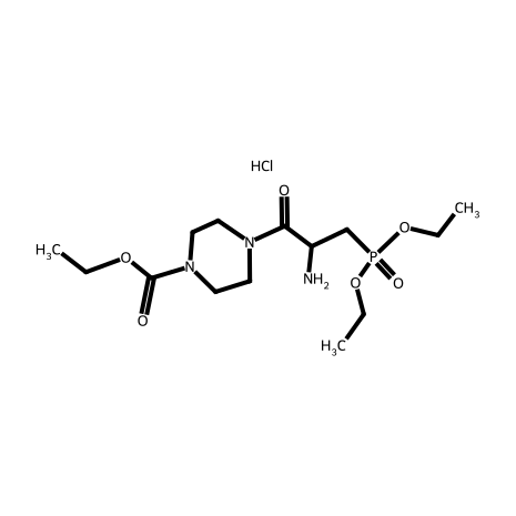 CCOC(=O)N1CCN(C(=O)C(N)CP(=O)(OCC)OCC)CC1.Cl